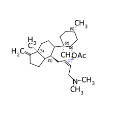 C=C1CCC2[C@H](C/C=C\CN(C)C)C([C@@]3(C)CC[C@H](C)C[C@@H]3OC(C)=O)CC[C@]12C